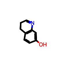 Oc1ccc2c(c1)N=CCC2